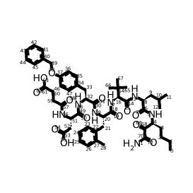 CCCC[C@H](NC(=O)[C@H](CC(C)C)NC(=O)[C@@H](NC(=O)[C@H](Cc1ccccc1C)NC(=O)[C@H](Cc1ccc(OCc2ccccc2)cc1)NC(=O)[C@H](CC(=O)O)NC(=O)CCC(=O)O)C(C)(C)C)C(=O)C(N)=O